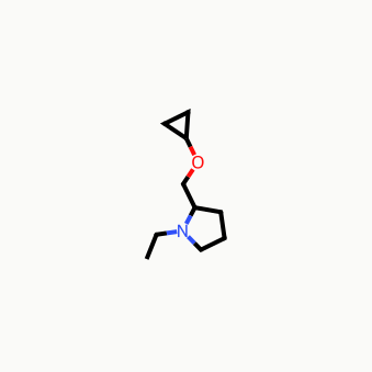 CCN1CCCC1COC1CC1